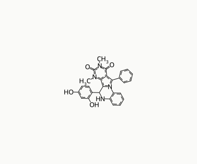 Cn1c(=O)c2c(-c3ccccc3)n3c(c2n(C)c1=O)C(c1ccc(O)cc1O)Nc1ccccc1-3